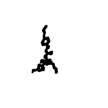 C=CCCc1ccc(OCC(=O)OC2CN(CCC=C)C[N+]2([O-])c2ncc(F)s2)cc1